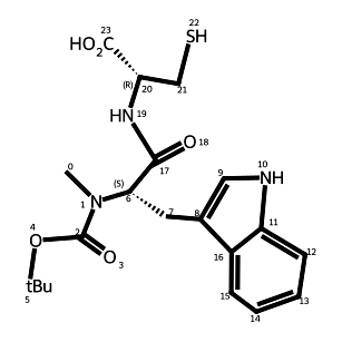 CN(C(=O)OC(C)(C)C)[C@@H](Cc1c[nH]c2ccccc12)C(=O)N[C@@H](CS)C(=O)O